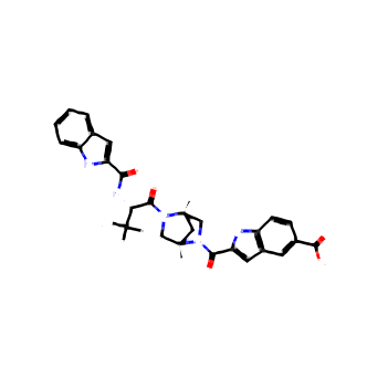 CC(C)(C)[C@H](NC(=O)c1cc2ccccc2[nH]1)C(=O)N1C[C@@H]2C[C@H]1CN2C(=O)c1cc2cc(C(=O)O)ccc2[nH]1